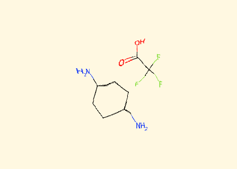 NC1CCC(N)CC1.O=C(O)C(F)(F)F